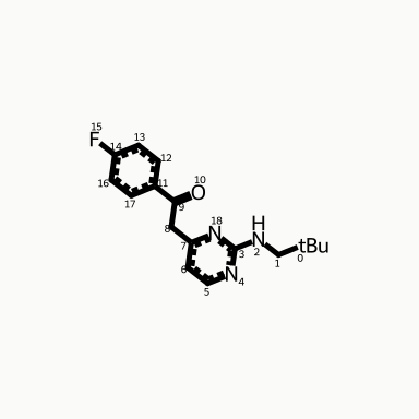 CC(C)(C)CNc1nccc(CC(=O)c2ccc(F)cc2)n1